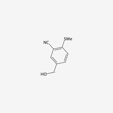 CSc1ccc([CH]O)cc1C#N